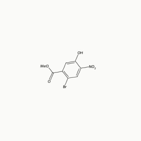 COC(=O)c1cc(O)c([N+](=O)[O-])cc1Br